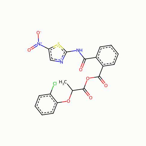 CC(Oc1ccccc1Cl)C(=O)OC(=O)c1ccccc1C(=O)Nc1ncc([N+](=O)[O-])s1